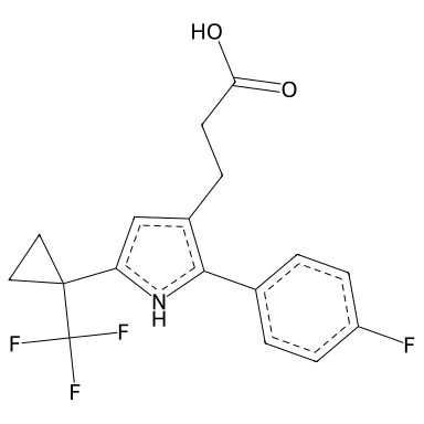 O=C(O)CCc1cc(C2(C(F)(F)F)CC2)[nH]c1-c1ccc(F)cc1